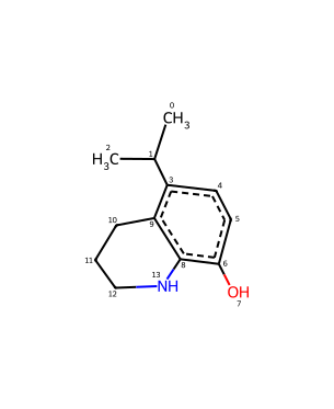 CC(C)c1ccc(O)c2c1CCCN2